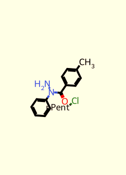 CCCCCCl.Cc1ccc(C(=O)N(N)c2ccccc2)cc1